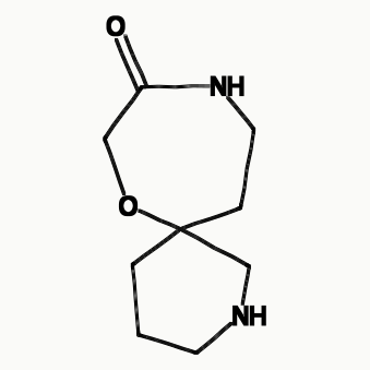 O=C1COC2(CCCNC2)CCN1